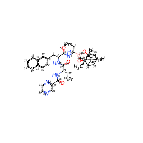 CC(C)C[C@H](NC(=O)[C@H](Cc1ccc2ccccc2c1)NC(=O)[C@H](CC(C)C)NC(=O)c1cnccn1)B1O[C@@H]2C[C@@H]3CC(C3(C)C)[C@]2(C)O1